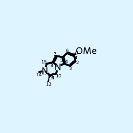 COc1ccc2c(c1)cc1n2C[C@@H](C)N(C)C1